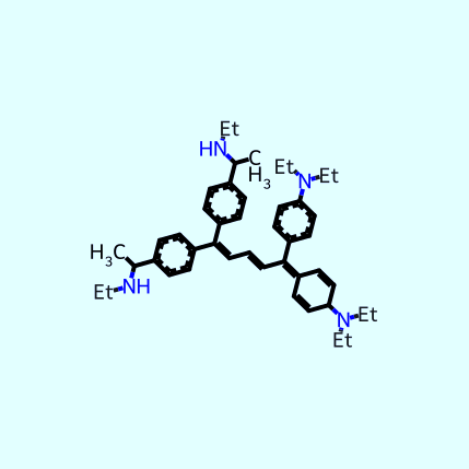 CCNC(C)c1ccc(C(=CC=CC(=C2C=CC(N(CC)CC)C=C2)c2ccc(N(CC)CC)cc2)c2ccc(C(C)NCC)cc2)cc1